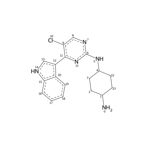 NC1CCC(Nc2ncc(Cl)c(-c3c[nH]c4ccccc34)n2)CC1